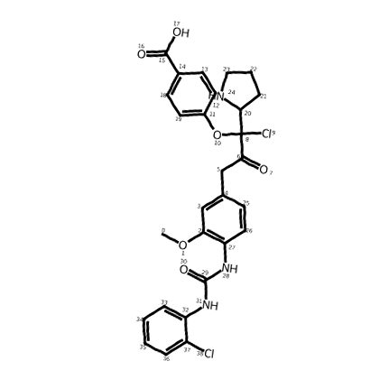 COc1cc(CC(=O)C(Cl)(Oc2ccc(C(=O)O)cc2)C2CCCN2)ccc1NC(=O)Nc1ccccc1Cl